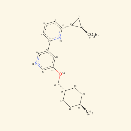 CCOC(=O)[C@@H]1C[C@H]1c1cccc(-c2cncc(OC[C@H]3CC[C@H](C)CC3)c2)n1